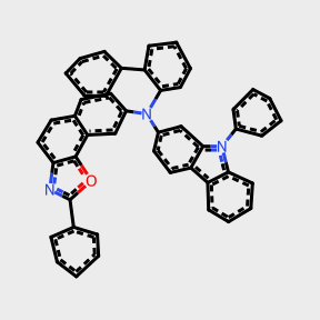 c1ccc(-c2nc3ccc4ccc(N(c5ccc6c7ccccc7n(-c7ccccc7)c6c5)c5ccccc5-c5ccccc5)cc4c3o2)cc1